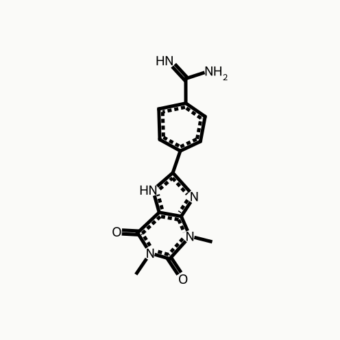 Cn1c(=O)c2[nH]c(-c3ccc(C(=N)N)cc3)nc2n(C)c1=O